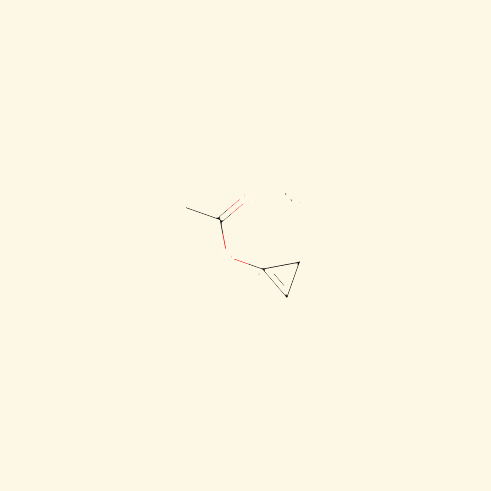 CC(=O)OC1=CC1.[Na]